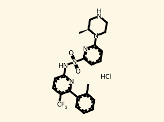 Cc1ccccc1-c1nc(NS(=O)(=O)c2cccc(N3CCNC[C@@H]3C)n2)ccc1C(F)(F)F.Cl